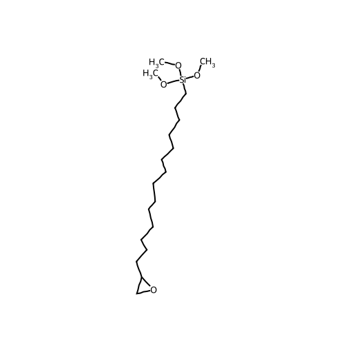 CO[Si](CCCCCCCCCCCCCCC1CO1)(OC)OC